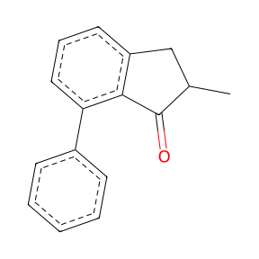 CC1Cc2cccc(-c3ccccc3)c2C1=O